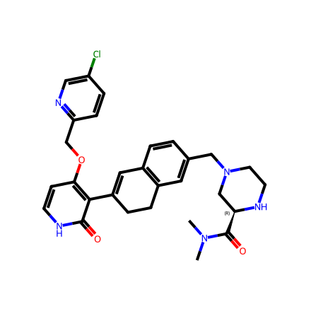 CN(C)C(=O)[C@H]1CN(Cc2ccc3c(c2)CCC(c2c(OCc4ccc(Cl)cn4)cc[nH]c2=O)=C3)CCN1